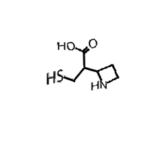 O=C(O)C(CS)C1CCN1